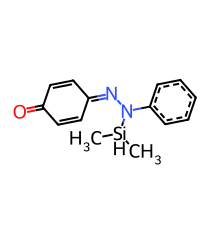 C[SiH](C)N(N=C1C=CC(=O)C=C1)c1ccccc1